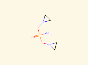 NP(=O)(ON1CC1)ON1CC1